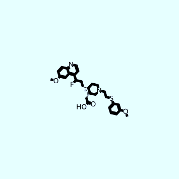 COc1cccc(SCCN2CC[C@@H](CCC(F)c3ccnc4ccc(OC)cc34)[C@@H](CC(=O)O)C2)c1